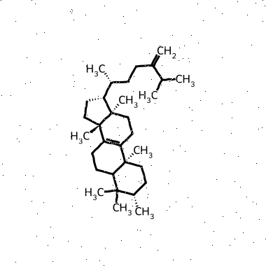 C=C(CC[C@@H](C)[C@H]1CC[C@@]2(C)C3=C(CC[C@]12C)[C@@]1(C)CC[C@H](C)C(C)(C)C1CC3)C(C)C